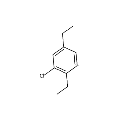 CCc1c[c]c(CC)c(Cl)c1